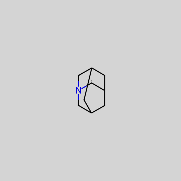 [CH]1C2CC3CC(C2)CN1C3